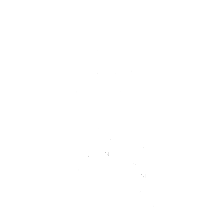 Cc1ccc(S(=O)(=O)O)c(CCOc2ccc3c(c2)C(=O)N(C2CCC(=O)NC2=O)C3=O)c1